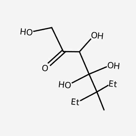 CCC(C)(CC)C(O)(O)C(O)C(=O)CO